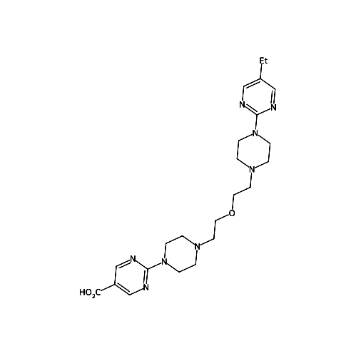 CCc1cnc(N2CCN(CCOCCN3CCN(c4ncc(C(=O)O)cn4)CC3)CC2)nc1